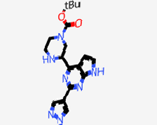 Cn1cc(-c2nc(C3CN(C(=O)OC(C)(C)C)CCN3)c3cc[nH]c3n2)cn1